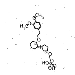 COc1ccc(CCO[C@H]2CCCC[C@H]2N2CC[C@H](OCOP(=O)(O)O)C2)cc1OC